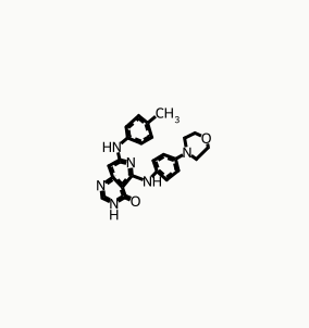 Cc1ccc(Nc2cc3nc[nH]c(=O)c3c(Nc3ccc(N4CCOCC4)cc3)n2)cc1